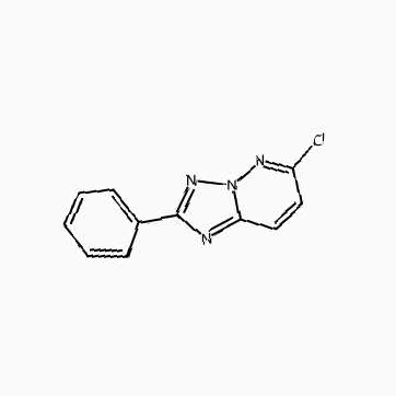 Clc1ccc2nc(-c3ccccc3)nn2n1